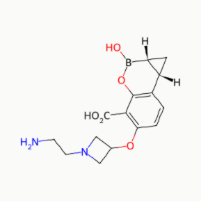 NCCN1CC(Oc2ccc3c(c2C(=O)O)OB(O)[C@@H]2C[C@H]32)C1